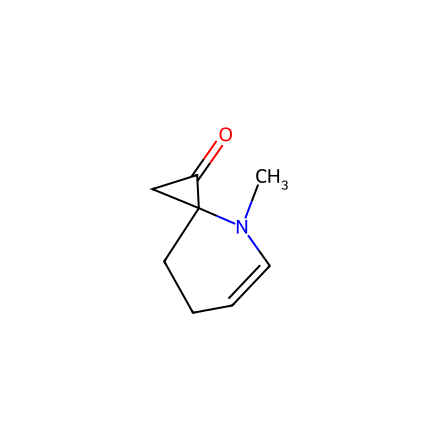 CN1C=CCCC12CC2=O